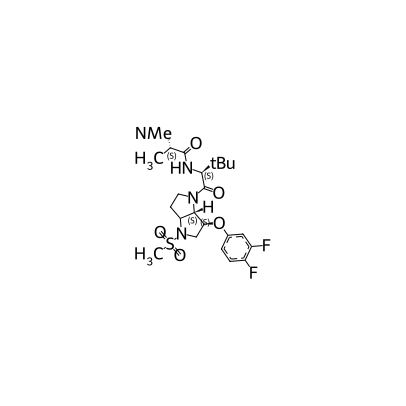 CN[C@@H](C)C(=O)N[C@H](C(=O)N1CCC2[C@H]1[C@@H](Oc1ccc(F)c(F)c1)CN2S(C)(=O)=O)C(C)(C)C